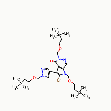 C[Si](C)(C)CCOCn1cc(-c2c(Br)n(COCC[Si](C)(C)C)c3cnn(COCC[Si](C)(C)C)c(=O)c23)cn1